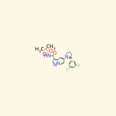 CC(C)S(=O)(=O)NC(=O)c1cnn2ccc(N3CCC[C@@H]3c3cc(F)cc(F)c3)cc12